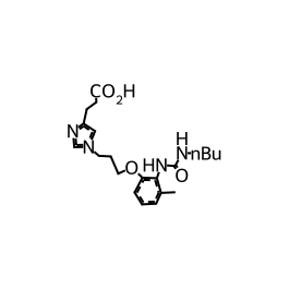 CCCCNC(=O)Nc1c(C)cccc1OCCCn1cnc(CCC(=O)O)c1